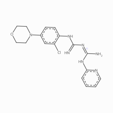 N=C(/N=C(/N)Nc1ccccn1)Nc1ccc(N2CCOCC2)cc1Cl